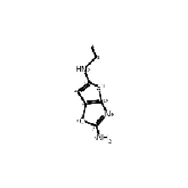 CCNc1cc2oc(N)nc2s1